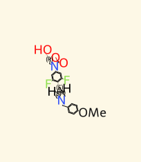 COc1ccc(CN2C[C@@H]3[C@H](C2)[C@H]3c2c(F)cc(N3C[C@H](CO)OC3=O)cc2F)cc1